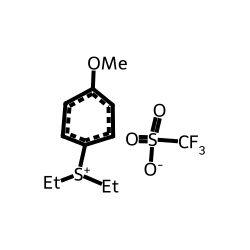 CC[S+](CC)c1ccc(OC)cc1.O=S(=O)([O-])C(F)(F)F